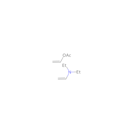 C=CN(CC)CC.C=COC(C)=O